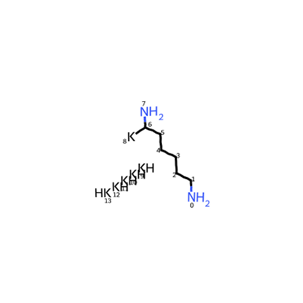 NCCCCC[CH](N)[K].[KH].[KH].[KH].[KH].[KH]